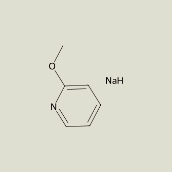 COc1ccccn1.[NaH]